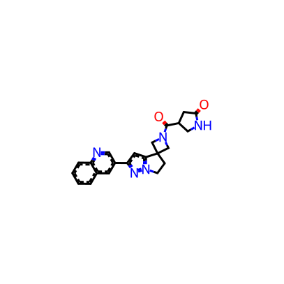 O=C1CC(C(=O)N2CC3(CCn4nc(-c5cnc6ccccc6c5)cc43)C2)CN1